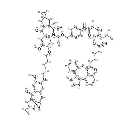 COc1cc2c(cc1OCCCCCOc1cc3c(cc1OC)C(=O)N1CC4(CC4)C[C@H]1[C@H](O)N3C(=O)OCc1ccc(NC(=O)[C@H](C)NC(=O)[C@@H](NC(=O)CCCCC(=O)N3Cc4ccccc4-c4c(nnn4C)-c4ccccc43)C(C)C)cc1)N=C[C@@H]1CC3(CC3)CN1C2=O